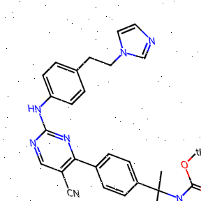 CC(C)(C)OC(=O)NC(C)(C)c1ccc(-c2nc(Nc3ccc(CCn4ccnc4)cc3)ncc2C#N)cc1